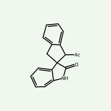 CC(=O)C1c2ccccc2CC12C(=O)Nc1ccccc12